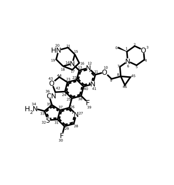 C[C@H]1COCCN1CC1(COc2nc(N3C4CCC3CNC4)c3c4c(c(-c5ncc(F)c6sc(N)c(C#N)c56)c(F)c3n2)COC4)CC1